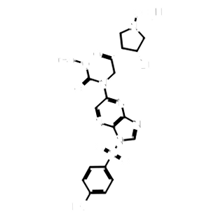 CC[C@H]1CN(C(=O)O)C[C@H]1C(=O)CN(C(=O)OC(C)(C)C)c1cnc2c(ncn2S(=O)(=O)c2ccc(C)cc2)n1